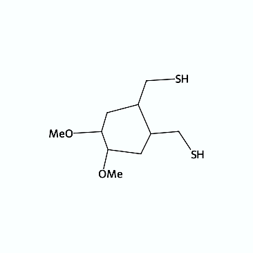 COC1CC(CS)C(CS)CC1OC